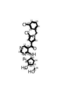 O=C(c1cc(Cl)n(Cc2cccc(Cl)c2)c1)c1cncnc1N[C@@H]1C[C@H](CO)[C@@H](O)[C@@H]1F